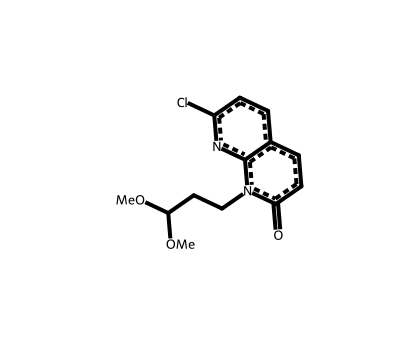 COC(CCn1c(=O)ccc2ccc(Cl)nc21)OC